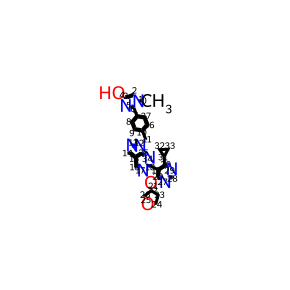 Cn1cc(O)nc1-c1ccc(Cn2ncc3cnc(-c4c(OC5CCOC5)ncnc4C4CC4)nc32)cc1